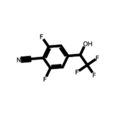 N#Cc1c(F)cc(C(O)C(F)(F)F)cc1F